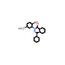 O=C(O)c1ccc([N+](=O)[O-])c(-n2nc(-c3ccccc3)c3ccccc3c2=O)c1